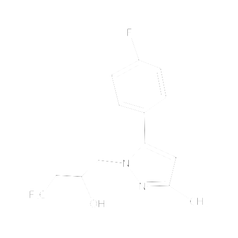 Cc1cc(-c2ccc(F)cc2)n(CC(O)CC(F)(F)F)n1